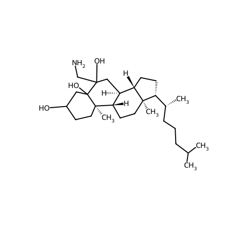 CC(C)CCC[C@@H](C)[C@H]1CC[C@H]2[C@@H]3CC(O)(CN)C4(O)CC(O)CC[C@]4(C)[C@H]3CC[C@]12C